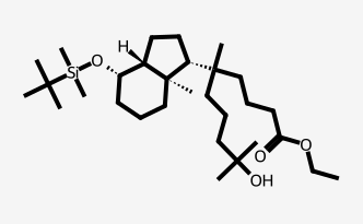 CCOC(=O)CCCC(C)(CCCC(C)(C)O)[C@H]1CC[C@H]2[C@@H](O[Si](C)(C)C(C)(C)C)CCC[C@]12C